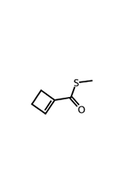 CSC(=O)C1=CCC1